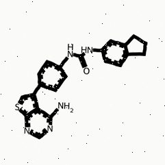 Nc1ncnc2scc(-c3ccc(NC(=O)Nc4ccc5c(c4)CCC5)cc3)c12